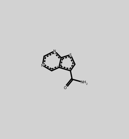 NC(=O)c1csc2ncncc12